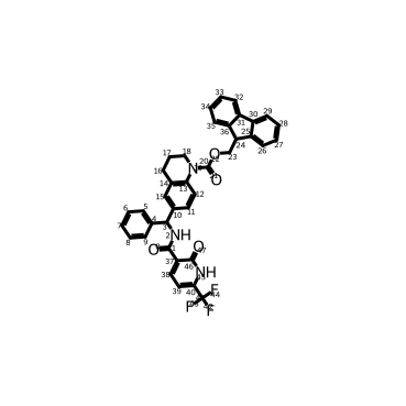 O=C(NC(c1ccccc1)c1ccc2c(c1)CCCN2C(=O)OCC1c2ccccc2-c2ccccc21)c1ccc(C(F)(F)F)[nH]c1=O